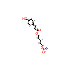 O=C(/C=C/c1ccc(O)cc1)OCCCCCO[N+](=O)[O-]